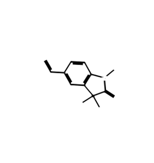 C=Cc1ccc2c(c1)C(C)(C)C(=O)N2C